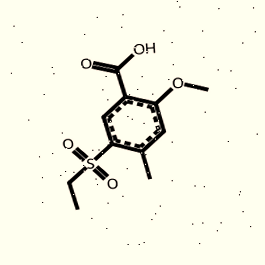 CCS(=O)(=O)c1cc(C(=O)O)c(OC)cc1C